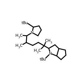 CC(CCC(C)(C)C1CC2CCCC2N1C(C)(C)C)C(C)N1CCCC1C(C)(C)C